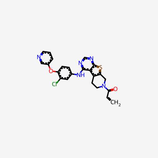 C=CC(=O)N1CCc2c(sc3ncnc(Nc4ccc(Oc5cccnc5)c(Cl)c4)c23)C1